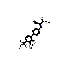 CC(C)(C)c1ccc(-c2ccc(/C=C(\C#N)C(=O)O)cc2)c2nsnc12